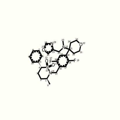 C[C@H]1CC[C@H](c2ccccc2)S(=O)(=O)N1Cc1cc(F)c(C2(N(C)Cc3cocn3)CCOCC2)cc1F